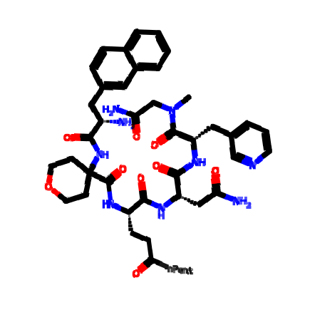 CCCCCC(=O)CC[C@H](NC(=O)C1(NC(=O)[C@@H](N)Cc2ccc3ccccc3c2)CCOCC1)C(=O)N[C@@H](CC(N)=O)C(=O)N[C@@H](Cc1cccnc1)C(=O)N(C)CC(N)=O